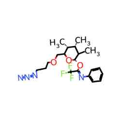 CC1[C@H](O/C(=N\c2ccccc2)C(F)(F)F)OC(COCCCN=[N+]=[N-])[C@H](C)[C@@H]1C